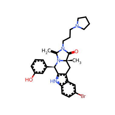 C=C1N(CCCN2CCCC2)C(=O)[C@]2(C)Cc3c([nH]c4ccc(Br)cc34)[C@@H](c3cccc(O)c3)N12